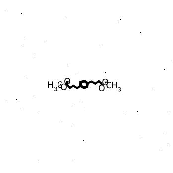 COC(=O)CCCc1ccc(CCCC(=O)OC)cc1